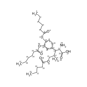 CCCCCC(=O)Oc1ccc(C(C(C)COC(=O)CCCC)[C@H](N)C(=O)O)cc1OC(=O)CCCCC